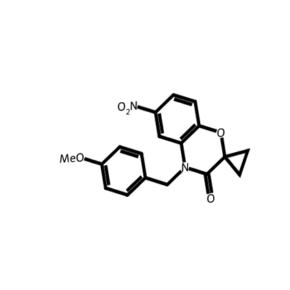 COc1ccc(CN2C(=O)C3(CC3)Oc3ccc([N+](=O)[O-])cc32)cc1